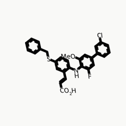 COc1cc(-c2cccc(Cl)c2)cc(F)c1Nc1ccc(SCc2ccccc2)cc1/C=C/C(=O)O